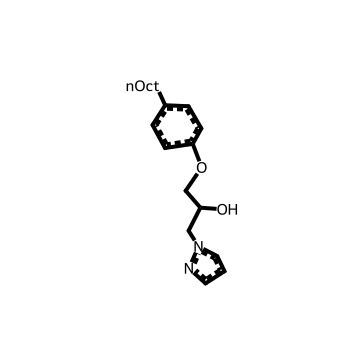 CCCCCCCCc1ccc(OCC(O)Cn2cccn2)cc1